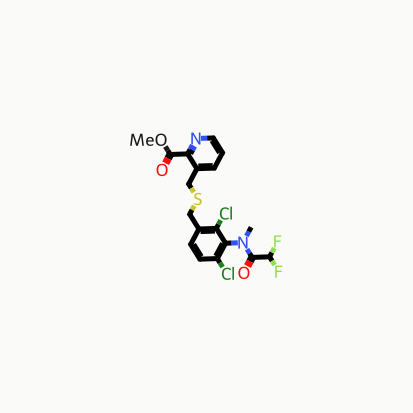 COC(=O)c1ncccc1CSCc1ccc(Cl)c(N(C)C(=O)C(F)F)c1Cl